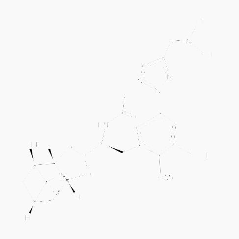 COc1c(C[C@H](NC(=O)Cn2cc(CN(C)C)nn2)B2O[C@@H]3C[C@@H]4C[C@@H](C4(C)C)[C@]3(C)O2)cccc1C(=O)O